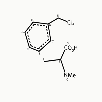 CNC(C)C(=O)O.ClCc1ccccc1